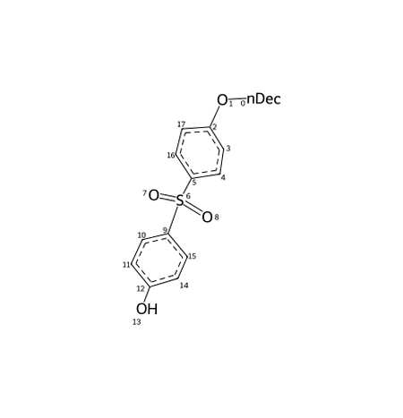 CCCCCCCCCCOc1ccc(S(=O)(=O)c2ccc(O)cc2)cc1